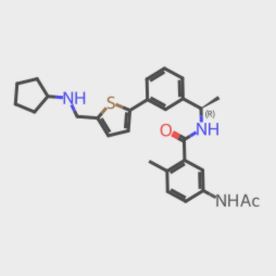 CC(=O)Nc1ccc(C)c(C(=O)N[C@H](C)c2cccc(-c3ccc(CNC4CCCC4)s3)c2)c1